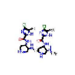 CCCNC1CNCCC1NC(=O)c1nc(Cl)c(CC)[nH]1.CCCNC1CNCCC1NC(=O)c1nc(Cl)c(CC)[nH]1